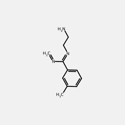 C=N/C(=N\CCN)c1cccc(C)c1